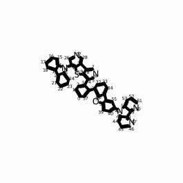 c1ccc(-c2cncc3c2sc2c(-n4c5ccccc5c5ccccc54)cncc23)c(-c2cccc3c2oc2ccc(-n4c5cccnc5c5ncccc54)cc23)c1